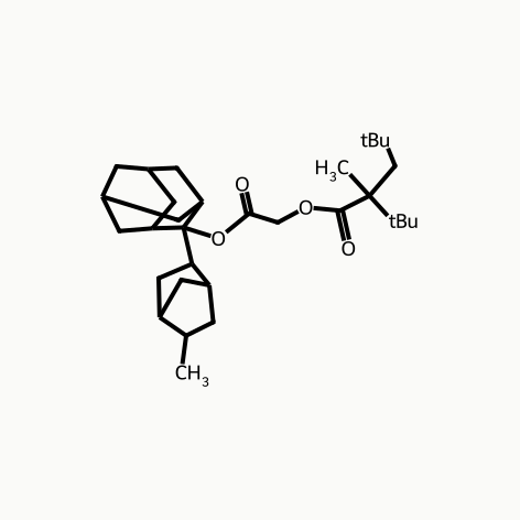 CC1CC2CC1CC2C1(OC(=O)COC(=O)C(C)(CC(C)(C)C)C(C)(C)C)C2CC3CC(C2)CC1C3